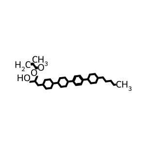 C=C(C)C(=O)OCC(CO)CC1CCC(C2CCC(c3ccc(C4CCC(CCCCC)CC4)cc3)CC2)CC1